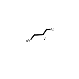 CCCCCCC(C)=O.[V]